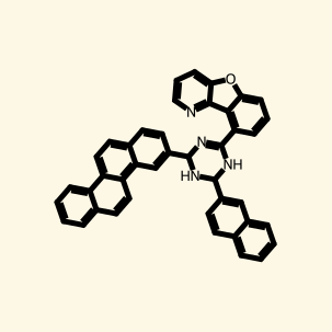 c1ccc2cc(C3NC(c4cccc5oc6cccnc6c45)=NC(c4ccc5ccc6c7ccccc7ccc6c5c4)N3)ccc2c1